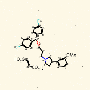 COc1cccc(C2CCN(CCCOC(c3ccc(F)cc3)c3ccc(F)cc3)C2)c1.O=C(O)/C=C/C(=O)O